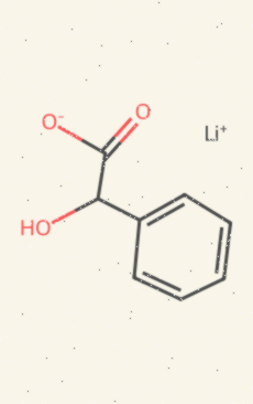 O=C([O-])C(O)c1ccccc1.[Li+]